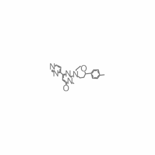 Cc1ccc(C2CCN(c3nc(-c4ccncn4)cc(=O)n3C)CCO2)cc1